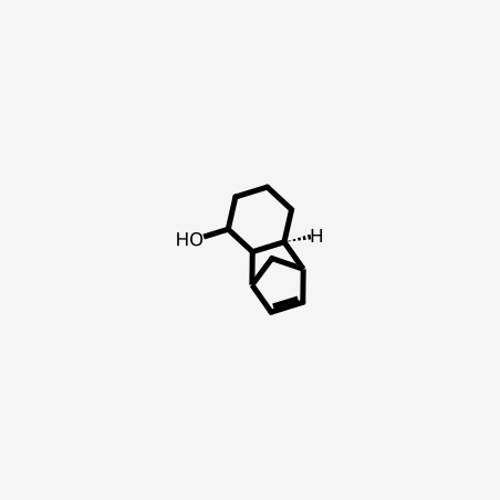 OC1CCC[C@H]2C3C=CC(C3)C12